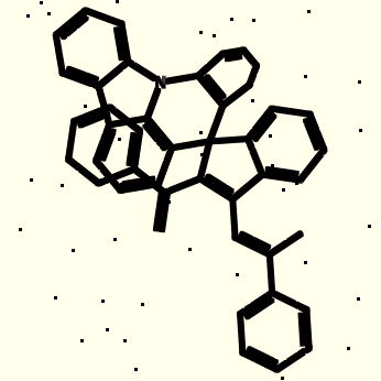 C=C(C1=CC=CCC1)C1=C(/C=C(\C)c2ccccc2)c2ccccc2C12C1=C(C=CCC1)n1c3ccccc3c3cccc2c31